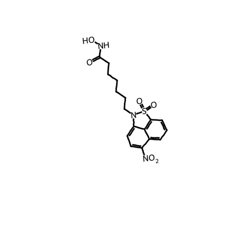 O=C(CCCCCCN1c2ccc([N+](=O)[O-])c3cccc(c23)S1(=O)=O)NO